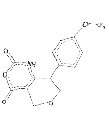 O=c1[nH]c2c(c(=O)o1)COCC2c1ccc(OC(F)(F)F)cc1